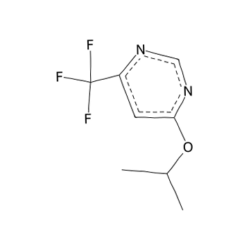 CC(C)Oc1cc(C(F)(F)F)ncn1